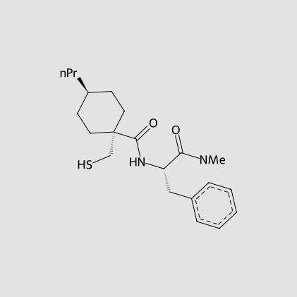 CCC[C@H]1CC[C@@](CS)(C(=O)N[C@@H](Cc2ccccc2)C(=O)NC)CC1